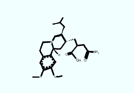 COc1cc2c(cc1OC)[C@H]1C[C@@H](CC(CC(N)=O)C(=O)O)[C@H](CC(C)C)CN1CC2